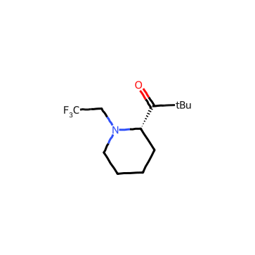 CC(C)(C)C(=O)[C@@H]1CCCCN1CC(F)(F)F